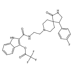 O=C(NCCN1CCC2(CC1)C(=O)NCC2c1ccc(F)cc1)c1[nH]c2ccccc2c1OC(=O)C(F)(F)F